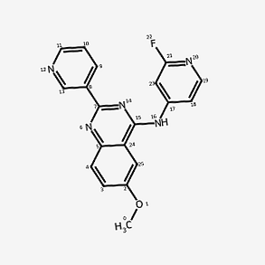 COc1ccc2nc(-c3cccnc3)nc(Nc3ccnc(F)c3)c2c1